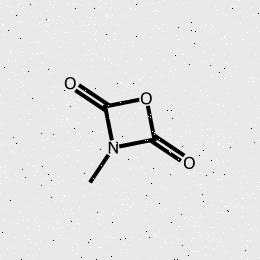 CN1C(=O)OC1=O